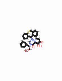 O=C1c2c(O)c(=O)ccn2N(C2c3ccccc3CSc3ccccc32)CN1[C@@H](CO)c1ccccc1